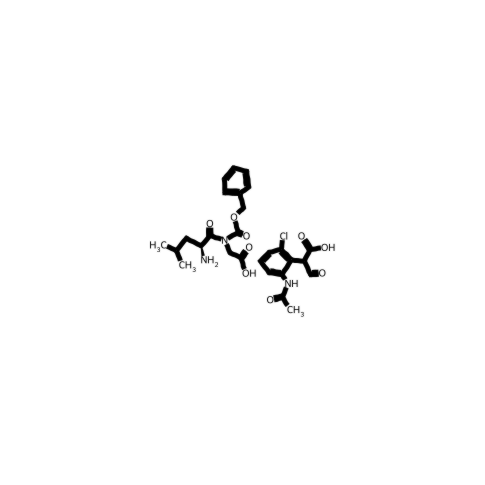 CC(=O)Nc1cccc(Cl)c1C(C=O)C(=O)O.CC(C)C[C@H](N)C(=O)N(CC(=O)O)C(=O)OCc1ccccc1